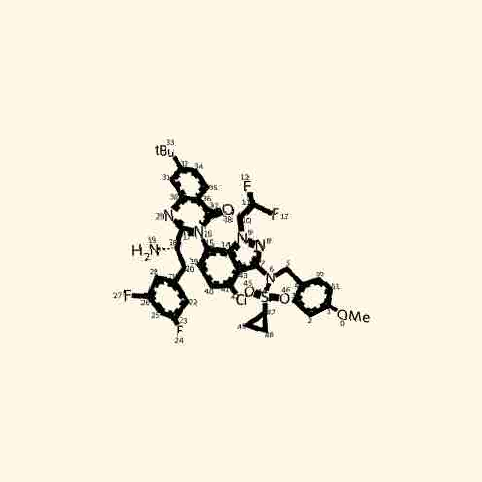 COc1ccc(CN(c2nn(CC(F)F)c3c(-n4c([C@@H](N)Cc5cc(F)cc(F)c5)nc5cc(C(C)(C)C)ccc5c4=O)ccc(Cl)c23)S(=O)(=O)C2CC2)cc1